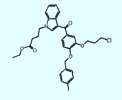 CCOC(=O)CCCn1cc(C(=O)c2ccc(OCc3ccc(C)cc3)c(OCCCCl)c2)c2ccccc21